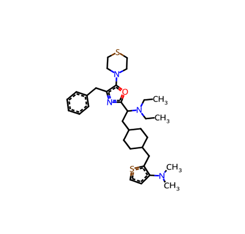 CCN(CC)C(CC1CCC(Cc2sccc2N(C)C)CC1)c1nc(Cc2ccccc2)c(N2CCSCC2)o1